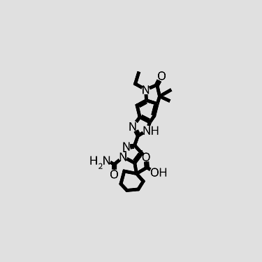 CCN1C(=O)C(C)(C)c2cc3[nH]c(-c4[c]c(C5(C(=O)O)CCCCC5)n(C(N)=O)n4)nc3cc21